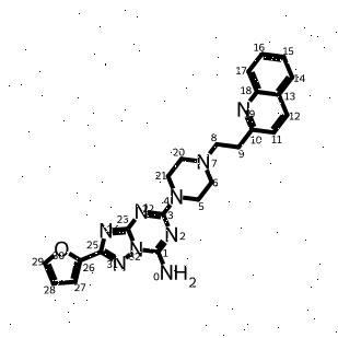 Nc1nc(N2CCN(CCc3ccc4ccccc4n3)CC2)nc2nc(-c3ccco3)nn12